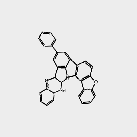 C1=CC2=NC3c4cc(-c5ccccc5)cc5c6ccc7oc8ccccc8c7c6n(c45)C3NC2C=C1